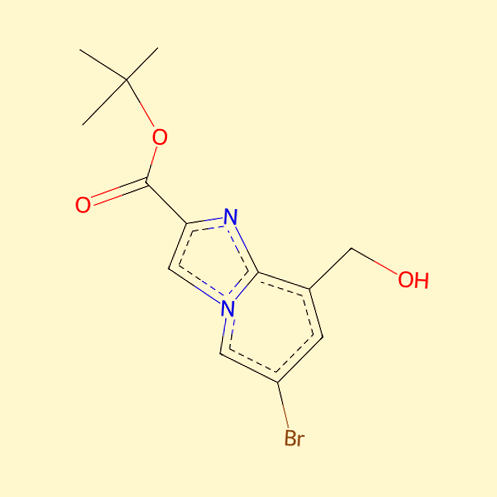 CC(C)(C)OC(=O)c1cn2cc(Br)cc(CO)c2n1